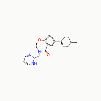 CC1CC=C(c2ccc3c(c2)C(=O)N(CC2N=CC=CN2)CCO3)CC1